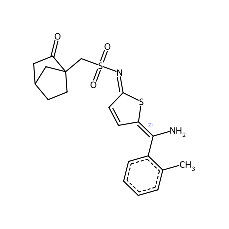 Cc1ccccc1/C(N)=C1\C=CC(=NS(=O)(=O)CC23CCC(CC2=O)C3)S1